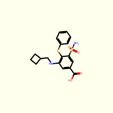 NS(=O)(=O)c1cc(C(=O)O)cc(NCC2CCC2)c1Sc1ccccc1